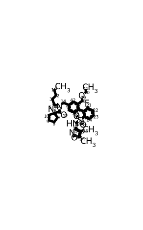 CCCCC1=NC2(CCCC2)C(=O)N1Cc1ccc(-c2c(F)cccc2S(=O)(=O)Nc2noc(C)c2C)c(COCC)c1